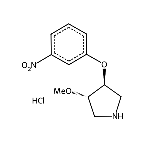 CO[C@H]1CNC[C@@H]1Oc1cccc([N+](=O)[O-])c1.Cl